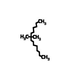 CCCCCCCCC(C)(C)CCCCCC